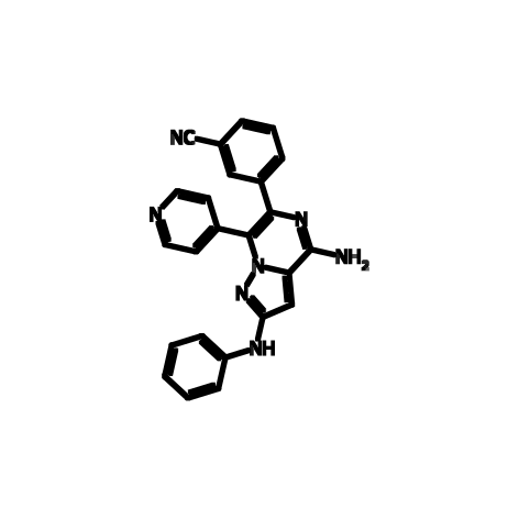 N#Cc1cccc(-c2nc(N)c3cc(Nc4ccccc4)nn3c2-c2ccncc2)c1